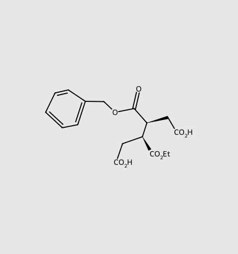 CCOC(=O)[C@@H](CC(=O)O)[C@H](CC(=O)O)C(=O)OCc1ccccc1